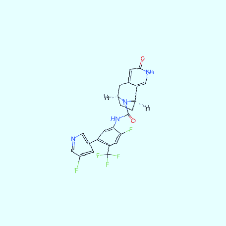 O=C(Nc1cc(-c2cncc(F)c2)c(C(F)(F)F)cc1F)N1[C@H]2CC[C@@H]1c1c[nH]c(=O)cc1C2